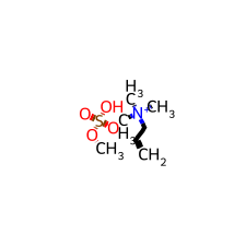 C=CC[N+](C)(C)C.COS(=O)(=O)O